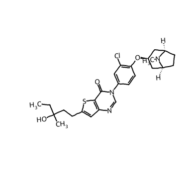 CCC(C)(O)CCc1cc2ncn(-c3ccc(O[C@H]4C[C@H]5CC[C@@H](C4)N5C)c(Cl)c3)c(=O)c2s1